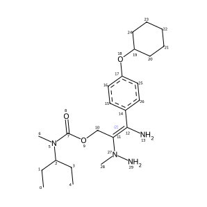 CCC(CC)N(C)C(=O)OC/C(=C(/N)c1ccc(OC2CCCCC2)cc1)N(C)N